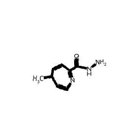 CC1C=CN=C(C(=O)NN)C=C1